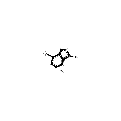 Cl.Cn1ncc2c(N)cccc21